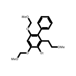 CCc1c(OCOC)cc(OCOC)c(-c2ccccc2)c1CCOC